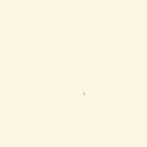 Cn1nc2nc1-c1cc(ccn1)S(=O)(=O)c1c(F)c(F)c3[nH]ccc3c1CCS(=O)(=O)CC(C)(C)CCC[C@]2(C)c1cccc(CC2(C(=O)O)CC2)c1